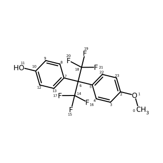 COc1ccc(C(c2ccc(O)cc2)(C(F)(F)F)C(F)(F)F)cc1